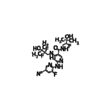 CC(C)(O)C(F)CNC(=O)c1cnc(Nc2ncc(C#N)cc2F)cc1NCC(F)(F)C(C)(C)O